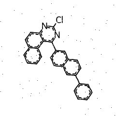 Clc1nc(-c2ccc3cc(-c4ccccc4)ccc3c2)c2c(ccc3ccccc32)n1